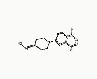 O=c1cc[nH]c2cc(N3CCC(=NO)CC3)ccc12